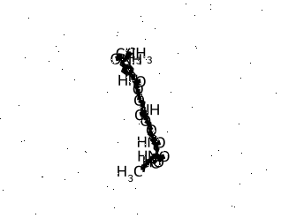 CCCCCC(=O)N[C@@H](CCC(=O)NCCOCCOCC(=O)NCCOCCOCC(=O)NCc1ccc(CC(NCC)C(C)=O)cc1)C(=O)O